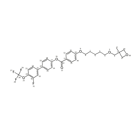 CC1(COCCCCCOc2ccc(C(=O)Oc3ccc(-c4ccc(OC(F)(F)F)c(F)c4)cc3)cc2)COC1